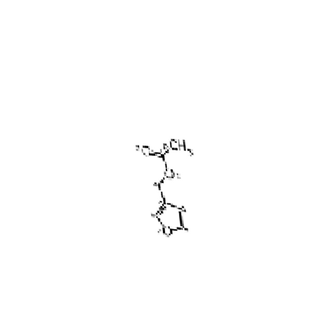 CC(=O)OCc1[c]occ1